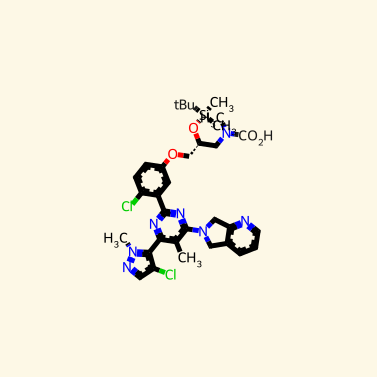 Cc1c(-c2c(Cl)cnn2C)nc(-c2cc(OC[C@@H](CN(C)C(=O)O)O[Si](C)(C)C(C)(C)C)ccc2Cl)nc1N1Cc2cccnc2C1